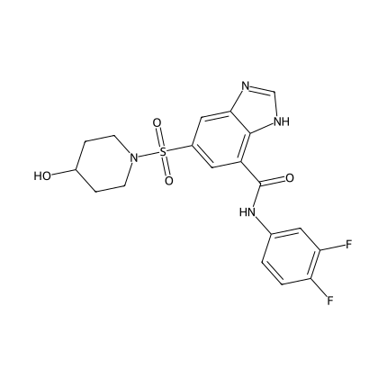 O=C(Nc1ccc(F)c(F)c1)c1cc(S(=O)(=O)N2CCC(O)CC2)cc2nc[nH]c12